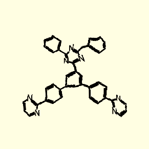 c1ccc(-c2nc(-c3ccccc3)nc(-c3cc(-c4ccc(-c5ncccn5)cc4)cc(-c4ccc(-c5ncccn5)cc4)c3)n2)cc1